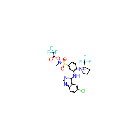 CN(OC(=O)C(F)(F)F)S(=O)(=O)c1ccc(N2CCC[C@@H]2C(F)(F)F)c(Nc2ncnc3ccc(Cl)cc23)c1